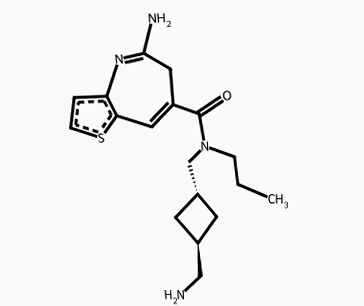 CCCN(C[C@H]1C[C@H](CN)C1)C(=O)C1=Cc2sccc2N=C(N)C1